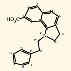 O=C(O)c1ccc2ncc3c(c2c1)N(CCc1ccccc1)CC3